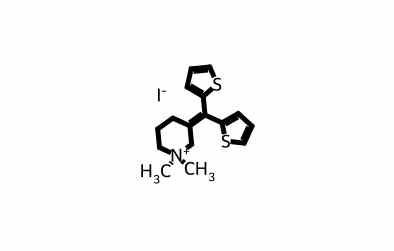 C[N+]1(C)CCCC(=C(c2cccs2)c2cccs2)C1.[I-]